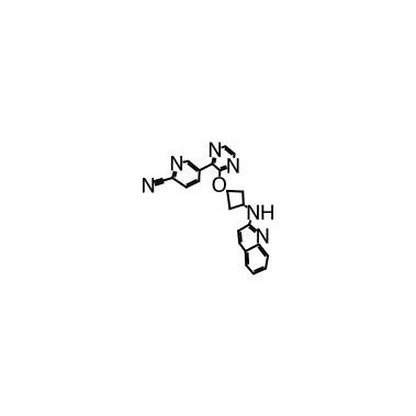 N#Cc1ccc(-c2nccnc2O[C@H]2C[C@H](Nc3ccc4ccccc4n3)C2)cn1